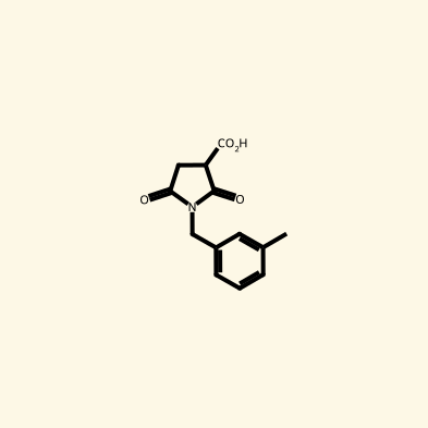 Cc1cccc(CN2C(=O)CC(C(=O)O)C2=O)c1